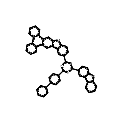 c1ccc(-c2ccc(-c3nc(-c4ccc5oc6ccccc6c5c4)nc(-c4ccc5oc6cc7c8ccccc8c8ccccc8c7cc6c5c4)n3)cc2)cc1